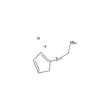 CC(C)(C)[CH2][Zr+2][C]1=CC=CC1.[H-].[H-]